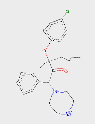 CCCC(C)(Oc1ccc(Cl)cc1)C(=O)C(c1ccccc1)N1CCNCC1